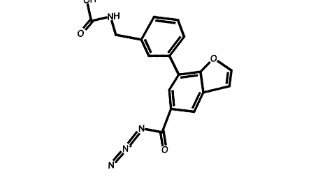 [N-]=[N+]=NC(=O)c1cc(-c2cccc(CNC(=O)O)c2)c2occc2c1